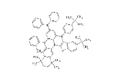 Cc1ccccc1N1c2cc3c(cc2B2c4oc5ccc(C(C)(C)C)cc5c4N(c4ccc(C(C)(C)C)cc4)c4cc(N(c5ccccc5)c5ccccc5)cc1c42)C(C)(C)CCC3(C)C